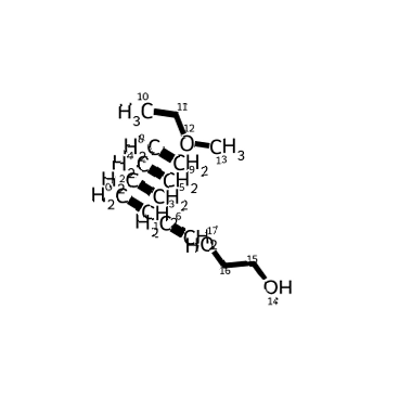 C=C.C=C.C=C.C=C.C=C.CCOC.OCCO